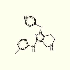 Cc1cccc(Nc2nn(Cc3ccncc3)c3c2CNCC3)c1